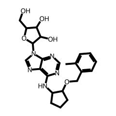 Cc1ccccc1COC1CCCC1Nc1ncnc2c1ncn2C1OC(CO)C(O)C1O